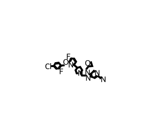 N#Cc1cc2nc(CN3CCC(c4ccc(F)c(OCc5ccc(Cl)cc5F)n4)CC3)n(CC3CCO3)c2cn1